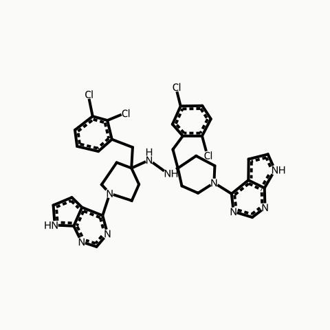 Clc1ccc(Cl)c(CC2(NNC3(Cc4cccc(Cl)c4Cl)CCN(c4ncnc5[nH]ccc45)CC3)CCN(c3ncnc4[nH]ccc34)CC2)c1